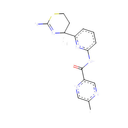 Cc1cnc(C(=O)Nc2cccc([C@]3(C)CCSC(N)=N3)n2)cn1